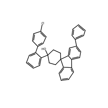 OC1(c2ccccc2-c2ccc(Cl)cc2)CCC2(CC1)c1ccccc1-c1ccc(-c3ccccc3)cc12